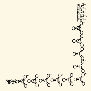 [Fe+3].[Fe+3].[Fe+3].[Fe+3].[O]=[Ti]([O-])[O-].[O]=[Ti]([O-])[O-].[O]=[Ti]([O-])[O-].[O]=[Ti]([O-])[O-].[O]=[Ti]([O-])[O-].[O]=[Zr]([O-])[O-].[O]=[Zr]([O-])[O-].[O]=[Zr]([O-])[O-].[O]=[Zr]([O-])[O-].[O]=[Zr]([O-])[O-].[Pb+2].[Pb+2].[Pb+2].[Pb+2]